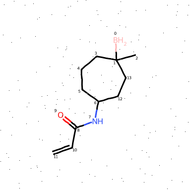 BC1(C)CCCC(NC(=O)C=C)CC1